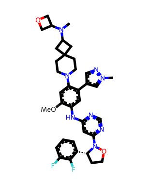 COc1cc(N2CCC3(CC2)CC(N(C)C2COC2)C3)c(-c2cnn(C)c2)cc1Nc1cc(N2OCC[C@@H]2c2cccc(F)c2F)ncn1